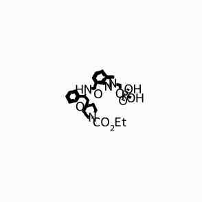 CCOC(=O)N1CCC2(CC1)C[C@H](NC(=O)c1cccc3cn(COP(=O)(O)O)nc13)c1ccccc1O2